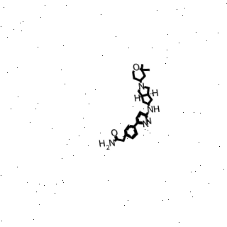 CC1(C)CC(N2C[C@H]3CC(Nc4ccc(-c5ccc(CC(N)=O)cc5)nn4)C[C@H]3C2)CCO1